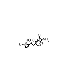 N[C@@H]1C(=O)N2C(C(=O)O)=C(CCc3ccc(Br)s3)CS[C@@H]12